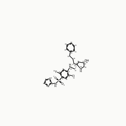 O=S(=O)(Nc1nccs1)c1cc(Cl)c(NC[C@]2(CCCc3ccccc3)C[C@H](O)CN2)cc1F